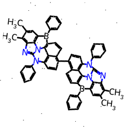 Cc1cc2c3c(nc4n(-c5ccccc5)c5ccc(-c6ccc7c8c6ccc6c8n8c9c(cc(C)c(C)c9nc8n7-c7ccccc7)B6c6ccccc6)c6ccc(c(c65)n34)B2c2ccccc2)c1C